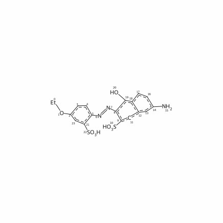 CCOc1ccc(/N=N/c2c(S(=O)(=O)O)cc3cc(N)ccc3c2O)c(S(=O)(=O)O)c1